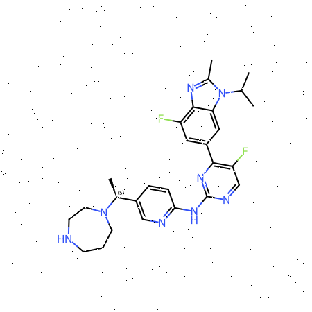 Cc1nc2c(F)cc(-c3nc(Nc4ccc([C@H](C)N5CCCNCC5)cn4)ncc3F)cc2n1C(C)C